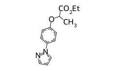 CCOC(=O)C(C)Oc1ccc(-n2cccn2)cc1